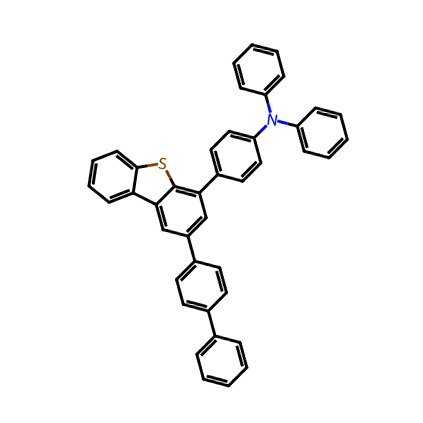 c1ccc(-c2ccc(-c3cc(-c4ccc(N(c5ccccc5)c5ccccc5)cc4)c4sc5ccccc5c4c3)cc2)cc1